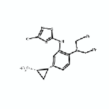 CC(C)CN(CC(C)C)c1ccc([C@@H]2C[C@@H]2C(=O)O)cc1Nc1nc(Cl)ns1